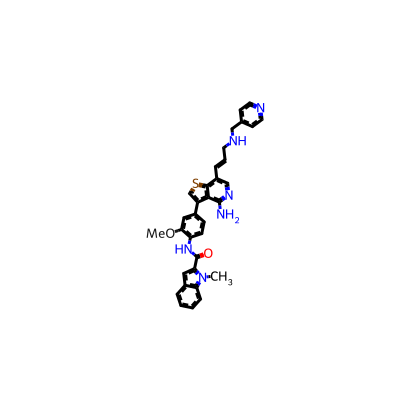 COc1cc(-c2csc3c(C=CCNCc4ccncc4)cnc(N)c23)ccc1NC(=O)c1cc2ccccc2n1C